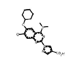 CN(C)c1nc(-n2cc(C(=O)O)cn2)nc2cc(Cl)c(OC3CCCCC3)cc12